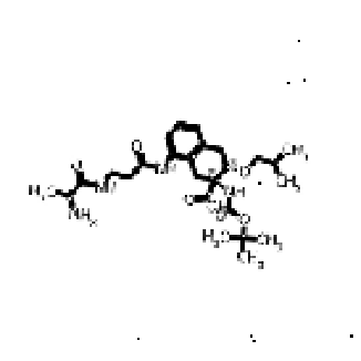 CC(C)CO[C@H]1Cc2cccc(NC(=O)CCNC(=O)C(C)N)c2C[C@@]1(NC(=O)OC(C)(C)C)C(=O)O